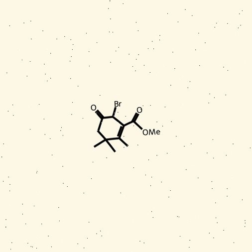 COC(=O)C1=C(C)C(C)(C)CC(=O)C1Br